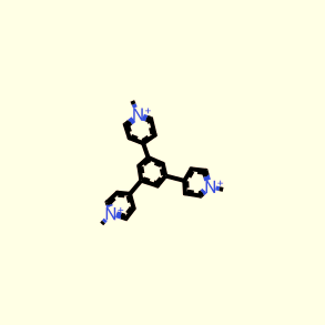 C[n+]1ccc(-c2cc(-c3cc[n+](C)cc3)cc(-c3cc[n+](C)cc3)c2)cc1